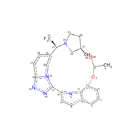 CC1Oc2cccc3ccc(nc23)-c2nnc3ccc(cn23)[C@@H](C(F)(F)F)N2CCC(C)(C2)O1